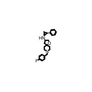 Fc1ccc(CN2CCC3(CC2)CC(N[C@@H]2C[C@H]2c2ccccc2)CO3)cc1